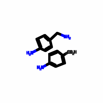 NCc1ccc(N)cc1.Nc1ccc(C(=O)O)cc1